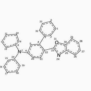 c1ccc(-c2cc(N(c3ccccc3)c3ccccc3)ccc2-c2nc3ccccc3o2)cc1